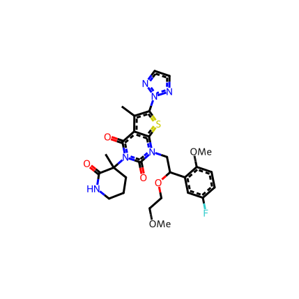 COCCOC(Cn1c(=O)n(C2(C)CCCNC2=O)c(=O)c2c(C)c(-n3nccn3)sc21)c1cc(F)ccc1OC